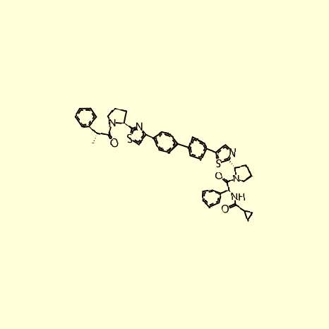 C[C@@H](C(=O)N1CCC[C@H]1c1nc(-c2ccc(-c3ccc(-c4cnc([C@@H]5CCCN5C(=O)[C@H](NC(=O)C5CC5)c5ccccc5)s4)cc3)cc2)cs1)c1ccccc1